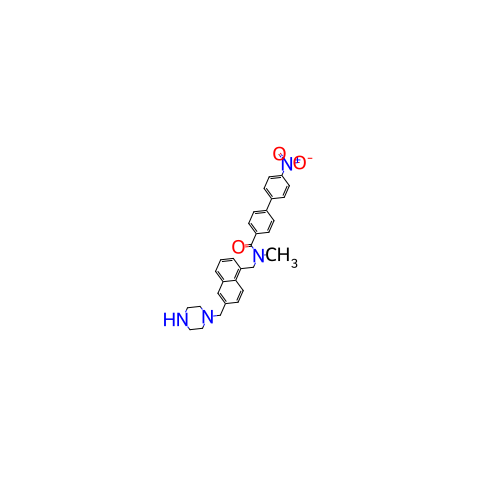 CN(Cc1cccc2cc(CN3CCNCC3)ccc12)C(=O)c1ccc(-c2ccc([N+](=O)[O-])cc2)cc1